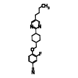 CCCCc1cnc(C2CCC(COc3ccc(C#N)cc3F)CC2)nc1